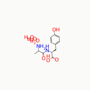 CC(N)C(=O)N[C@@H](Cc1ccc(O)cc1)C(=O)O.O.O.O